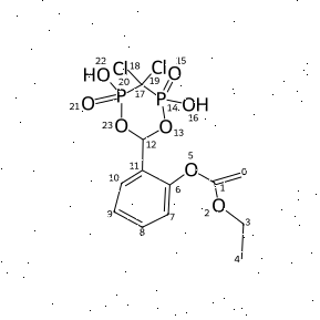 C=C(OCC)Oc1ccccc1C1OP(=O)(O)C(Cl)(Cl)P(=O)(O)O1